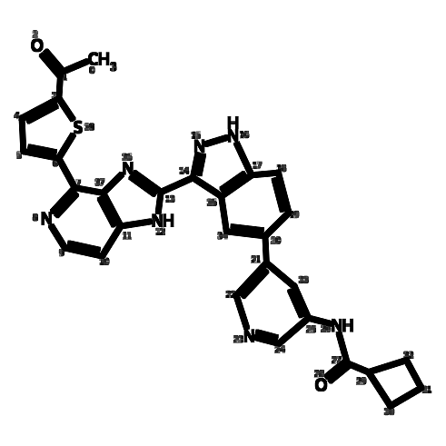 CC(=O)c1ccc(-c2nccc3[nH]c(-c4n[nH]c5ccc(-c6cncc(NC(=O)C7CCC7)c6)cc45)nc23)s1